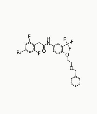 O=C(Cc1c(F)cc(Br)cc1F)Nc1ccc(OCCOCc2ccccc2)c(C(F)(F)F)c1